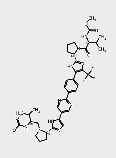 COC(=O)N[C@H](C(=O)N1CCC[C@H]1c1nc(C(F)(F)F)c(-c2ccc(-c3ncc(-c4cnc([C@@H]5CCCN5C[C@@H](NC(=O)O)C(C)C)[nH]4)cn3)cc2)[nH]1)C(C)C